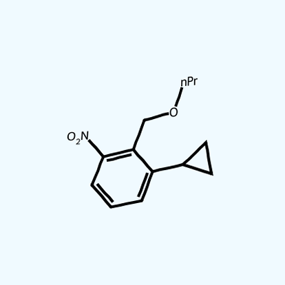 CCCOCc1c(C2CC2)cccc1[N+](=O)[O-]